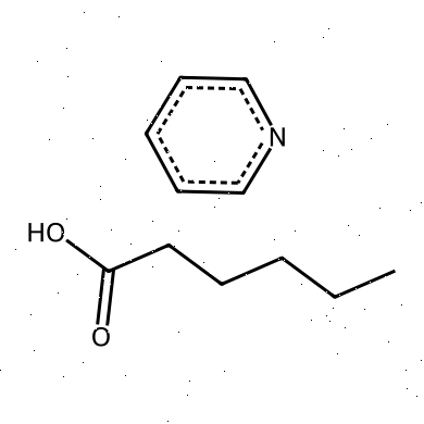 CCCCCC(=O)O.c1ccncc1